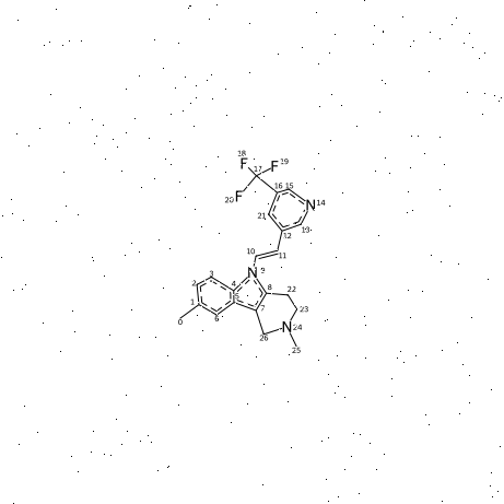 Cc1ccc2c(c1)c1c(n2C=Cc2cncc(C(F)(F)F)c2)CCN(C)C1